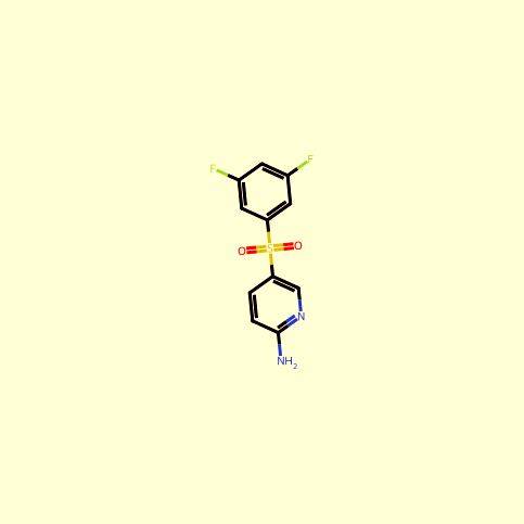 Nc1ccc(S(=O)(=O)c2cc(F)cc(F)c2)cn1